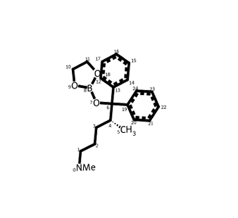 CNCCC[C@@H](C)C(OB1OCCO1)(c1ccccc1)c1ccccc1